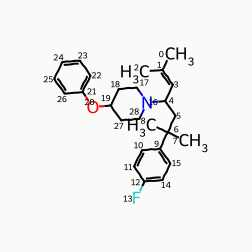 CC(C)=CC(CC(C)(C)c1ccc(F)cc1)N1CCC(Oc2ccccc2)CC1